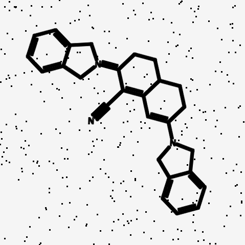 N#CC1=C2C=C(N3Cc4ccccc4C3)CCC2CCC1=[N+]1Cc2ccccc2C1